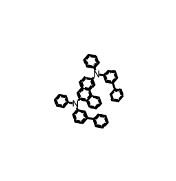 c1ccc(-c2cccc(N(c3ccccc3)c3ccc4cc(N(c5ccccc5)c5cccc(-c6ccccc6)c5)c5ccccc5c4c3)c2)cc1